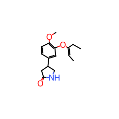 CC=C(CC)Oc1cc(C2CNC(=O)C2)ccc1OC